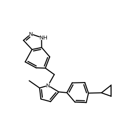 Cc1ccc(-c2ccc(C3CC3)cc2)n1Cc1ccc2cn[nH]c2c1